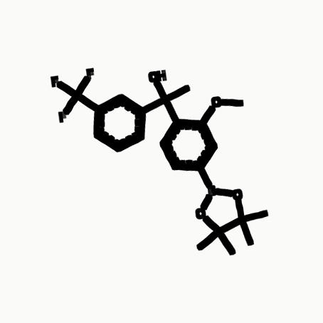 COc1cc(B2OC(C)(C)C(C)(C)O2)ccc1C(C)(O)c1cccc(C(F)(F)F)c1